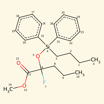 CCCC[Si](OC(F)(CCC)C(=O)OC)(c1ccccc1)c1ccccc1